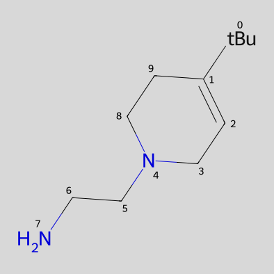 CC(C)(C)C1=CCN(CCN)CC1